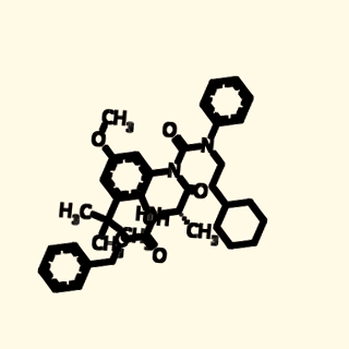 COc1cc(N(C(=O)[C@H](C)NC(=O)OCc2ccccc2)C(=O)N(CCC2CCCCC2)c2ccccc2)c(O)c(C(C)(C)C)c1